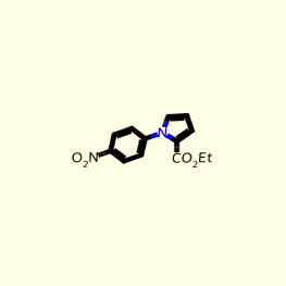 CCOC(=O)c1cccn1-c1ccc([N+](=O)[O-])cc1